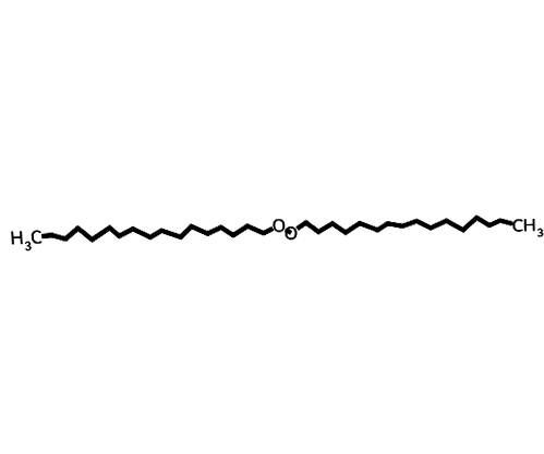 CCCCCCCCCCCCCCCCCOOCCCCCCCCCCCCCCCC